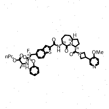 CCCOC(=O)[C@H](C)N[P@@](=O)(Oc1ccccc1)[C@H](F)c1ccc2sc(C(=O)N[C@H]3CCC[C@H]4CC[C@@H](C(=O)N5CC(c6cnccc6OC)C5)N4C3=O)cc2c1